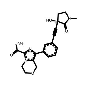 COC(=O)c1nc(-c2cccc(C#C[C@]3(O)CCN(C)C3=O)c2)c2n1CCOC2